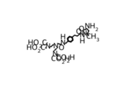 CC1C[C@@H](N)C(=O)N1NC(=O)CCc1ccc(CNC(=O)CN(CCN(CC(=O)O)CC(=O)O)CCN(CC(=O)O)CC(=O)O)cc1